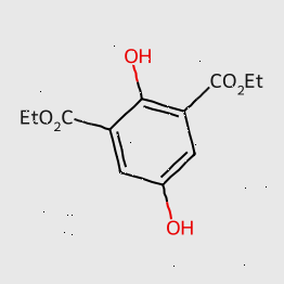 CCOC(=O)c1cc(O)cc(C(=O)OCC)c1O